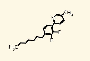 CCCCCCCc1ccc(-c2ccc(C)cn2)c(F)c1F